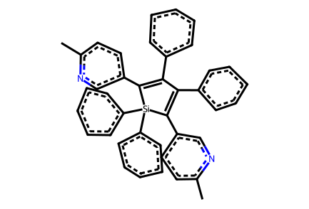 Cc1ccc(C2=C(c3ccccc3)C(c3ccccc3)=C(c3ccc(C)nc3)[Si]2(c2ccccc2)c2ccccc2)cn1